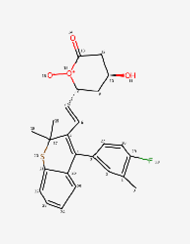 Cc1cc(C2=C(C=C[C@H]3C[C@H](O)CC(=O)[O+]3[O-])C(C)(C)Sc3ccccc32)ccc1F